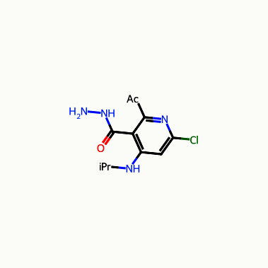 CC(=O)c1nc(Cl)cc(NC(C)C)c1C(=O)NN